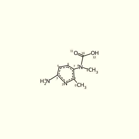 Cc1nc(N)ccc1N(C)C(=O)O